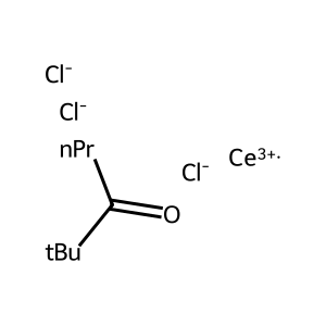 CCCC(=O)C(C)(C)C.[Ce+3].[Cl-].[Cl-].[Cl-]